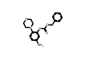 Nc1ccc(N2CCOCC2)c(OC(=O)OCc2ccccc2)c1